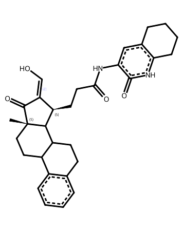 C[C@]12CCC3c4ccccc4CCC3C1[C@H](CCC(=O)Nc1cc3c([nH]c1=O)CCCC3)/C(=C/O)C2=O